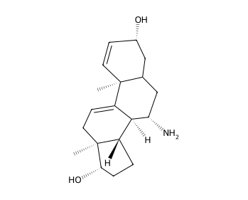 C[C@]12CC=C3[C@@H]([C@@H](N)CC4C[C@@H](O)C=C[C@]34C)[C@@H]1CC[C@@H]2O